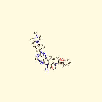 COc1cc(-c2nn(C3CCC(N4CCN(C)CC4)CC3)c3ncnc(N)c23)ccc1NC1COc2ccccc21